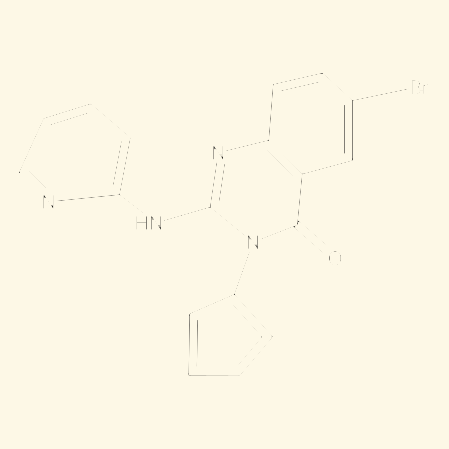 O=c1c2cc(Br)ccc2nc(Nc2ccccn2)n1C1=C=CC=C1